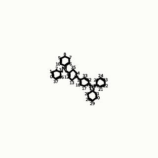 C1=CCC(N(C2=CCCC=C2)C2=CCC(C3=CC[C@@H](N(C4C=CC=CC4)C4CC=CCC4)C=C3)CC2)C=C1